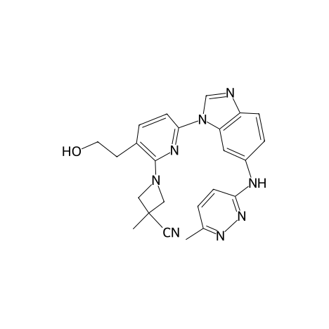 Cc1ccc(Nc2ccc3ncn(-c4ccc(CCO)c(N5CC(C)(C#N)C5)n4)c3c2)nn1